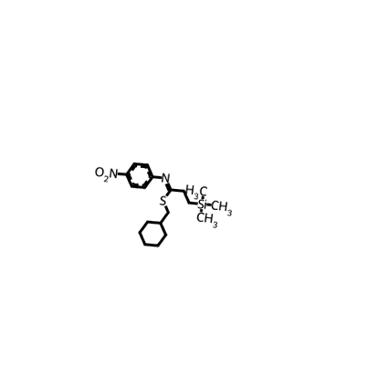 C[Si](C)(C)CCC(=Nc1ccc([N+](=O)[O-])cc1)SCC1CCCCC1